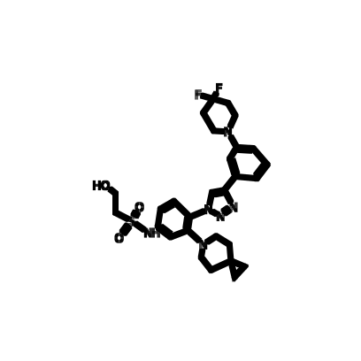 O=S(=O)(CCO)Nc1ccc(-n2cc(-c3cccc(N4CCC(F)(F)CC4)c3)nn2)c(N2CCC3(CC2)CC3)c1